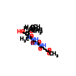 COC(=O)CCCCC(=O)NCC(=O)NCC(=O)NCC(=O)N(C)c1cc(CO)cc(CO[Si](C)(C)C(C)(C)C)c1